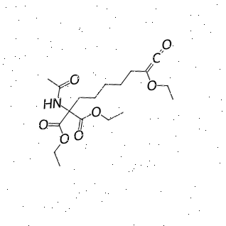 CCOC(=O)C(CCCCCC(=C=O)OCC)(NC(C)=O)C(=O)OCC